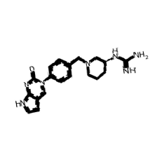 N=C(N)N[C@H]1CCCN(Cc2ccc(-n3cc4cc[nH]c4nc3=O)cc2)C1